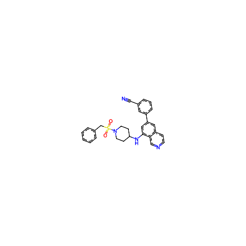 N#Cc1cccc(-c2cc(NC3CCN(S(=O)(=O)Cc4ccccc4)CC3)c3cnccc3c2)c1